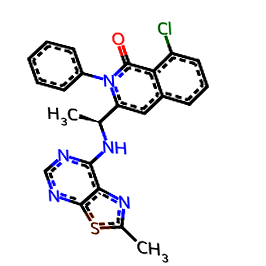 Cc1nc2c(N[C@@H](C)c3cc4cccc(Cl)c4c(=O)n3-c3ccccc3)ncnc2s1